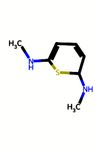 CNC1=CC=CC(NC)S1